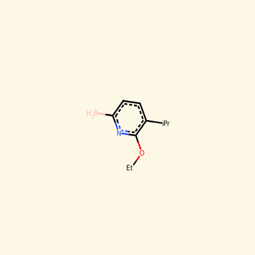 Bc1ccc(C(C)C)c(OCC)n1